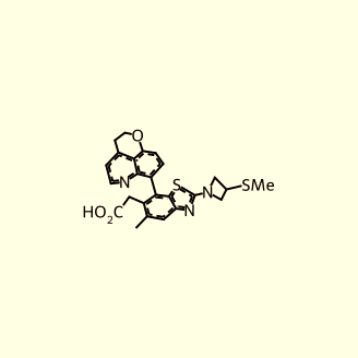 CSC1CN(c2nc3cc(C)c(CC(=O)O)c(-c4ccc5c6c(ccnc46)CCO5)c3s2)C1